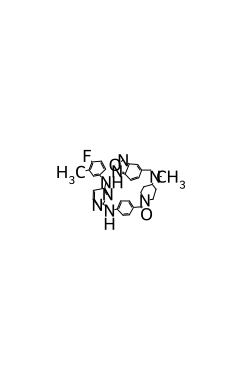 Cc1cc(Nc2ccnc(Nc3ccc(C(=O)N4CCC(N(C)Cc5ccc6nonc6c5)CC4)cc3)n2)ccc1F